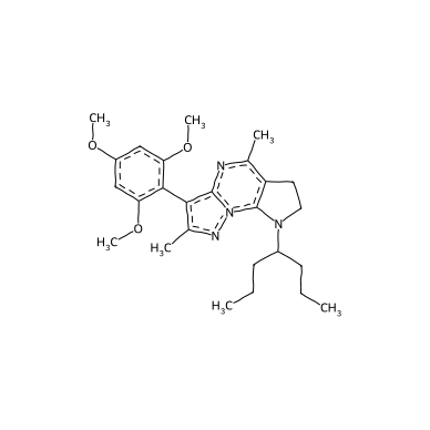 CCCC(CCC)N1CCc2c(C)nc3c(-c4c(OC)cc(OC)cc4OC)c(C)nn3c21